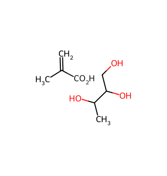 C=C(C)C(=O)O.CC(O)C(O)CO